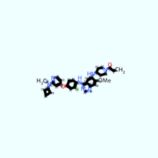 C=CC(=O)N1CCC(Nc2cc3c(Nc4ccc(Oc5ccnc(N(C)C6CCC6)c5)cc4F)ncnc3cc2OC)CC1